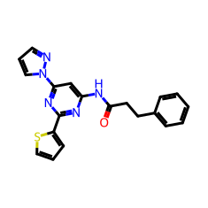 O=C(CCc1ccccc1)Nc1cc(-n2cccn2)nc(-c2cccs2)n1